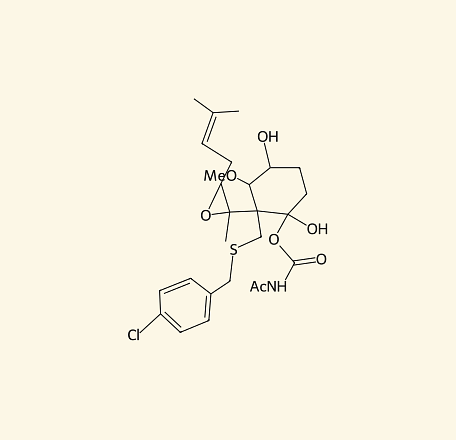 COC1C(O)CCC(O)(OC(=O)NC(C)=O)C1(CSCc1ccc(Cl)cc1)C1(C)OC1CC=C(C)C